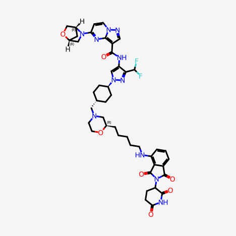 O=C1CCC(N2C(=O)c3cccc(NCCCCC[C@@H]4CN(C[C@H]5CC[C@H](n6cc(NC(=O)c7cnn8ccc(N9C[C@H]%10C[C@@H]9CO%10)nc78)c(C(F)F)n6)CC5)CCO4)c3C2=O)C(=O)N1